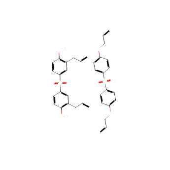 C=CCOc1ccc(S(=O)(=O)c2ccc(OCC=C)cc2)cc1.C=CCc1cc(S(=O)(=O)c2ccc(O)c(CC=C)c2)ccc1O